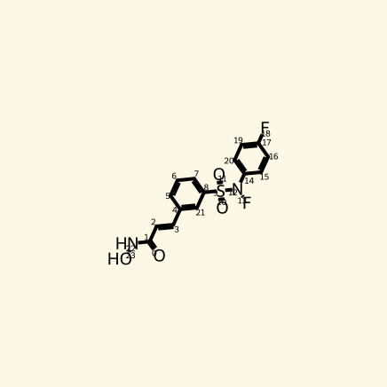 O=C(C=Cc1cccc(S(=O)(=O)N(F)c2ccc(F)cc2)c1)NO